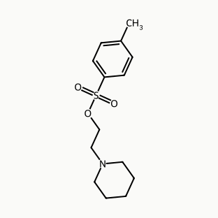 Cc1ccc(S(=O)(=O)OCCN2CCCCC2)cc1